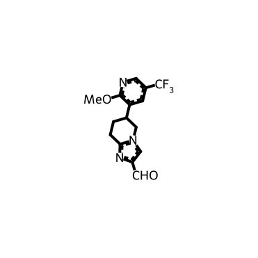 COc1ncc(C(F)(F)F)cc1C1CCc2nc(C=O)cn2C1